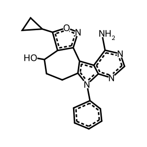 Nc1ncnc2c1c1c(n2-c2ccccc2)CCC(O)c2c-1noc2C1CC1